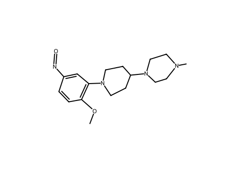 COc1ccc(N=O)cc1N1CCC(N2CCN(C)CC2)CC1